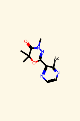 CC(=O)c1nccnc1C1=NN(C)C(=O)C(C)(C)O1